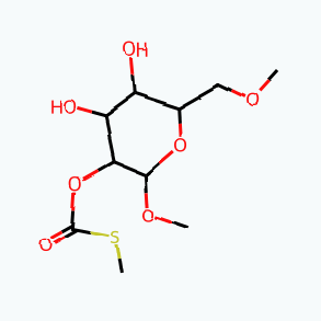 COCC1OC(OC)C(OC(=O)SC)C(O)C1O